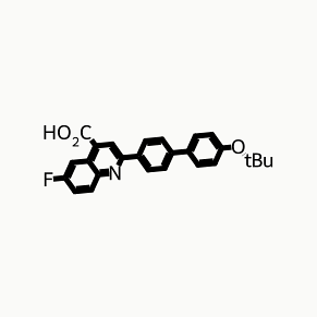 CC(C)(C)Oc1ccc(-c2ccc(-c3cc(C(=O)O)c4cc(F)ccc4n3)cc2)cc1